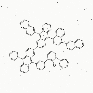 c1ccc(-c2c3ccccc3c(-c3cccc(-c4cccc5c4oc4ccccc45)c3)c3cc(-c4ccc5c(-c6ccc(-c7ccc8ccccc8c7)c7ccccc67)c6ccccc6c(-c6ccc7ccccc7c6)c5c4)ccc23)cc1